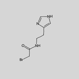 O=C(CBr)NCCc1c[nH]cn1